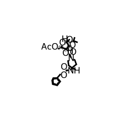 CC(=O)OC[C@H]1O[C@@H]2OC(C)(C)O[C@@H]2[C@H]1OC(=O)N1CCC(C)(NC(=O)OCc2ccccc2)CC1